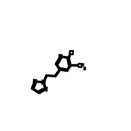 FC(F)(F)c1cc(CCn2nccn2)cnc1Cl